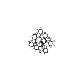 c1cc(N2c3ccccc3Oc3ccccc32)nc(-n2c3ccccc3c3ccc4c5ccccc5n(-c5cccc(N6c7ccccc7Oc7ccccc76)n5)c4c32)c1